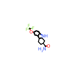 NC(=O)C1CCc2c([nH]c3ccc(OC(F)(F)F)cc23)C1